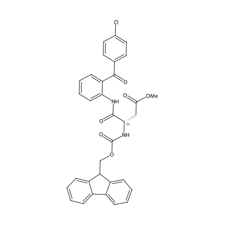 COC(=O)C[C@H](NC(=O)OCC1c2ccccc2-c2ccccc21)C(=O)Nc1ccccc1C(=O)c1ccc(Cl)cc1